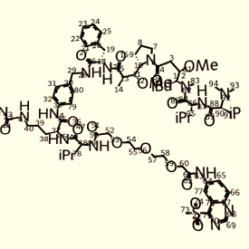 CC[C@H](C)[C@@H]([C@@H](CC(=O)N1CCC[C@H]1[C@H](OC)[C@@H](C)C(=O)N[C@@H](Cc1ccccc1)C(=O)NCc1ccc(NC(=O)[C@H](CCCNC(N)=O)NC(=O)C(NC(=O)COCCOCCOCC(=O)Nc2ccc3ncnc(S(C)(=O)=O)c3c2)C(C)C)cc1)OC)N(C)C(=O)[C@@H](NC(=O)[C@H](C(C)C)N(C)C)C(C)C